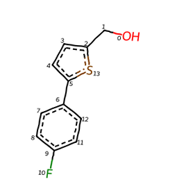 OCc1ccc(-c2ccc(F)cc2)s1